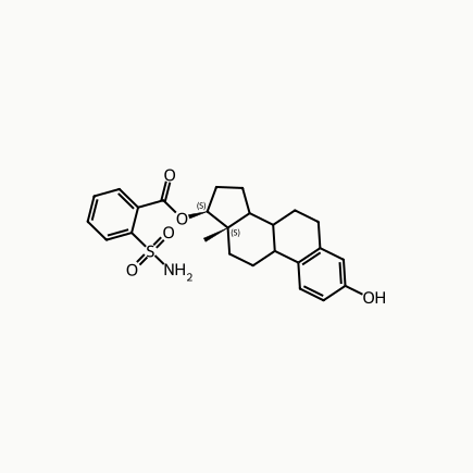 C[C@]12CCC3c4ccc(O)cc4CCC3C1CC[C@@H]2OC(=O)c1ccccc1S(N)(=O)=O